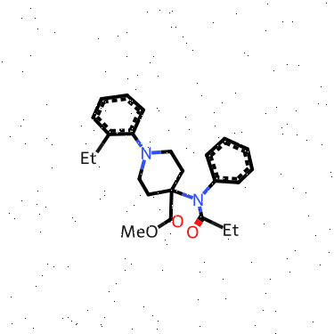 CCC(=O)N(c1ccccc1)C1(C(=O)OC)CCN(c2ccccc2CC)CC1